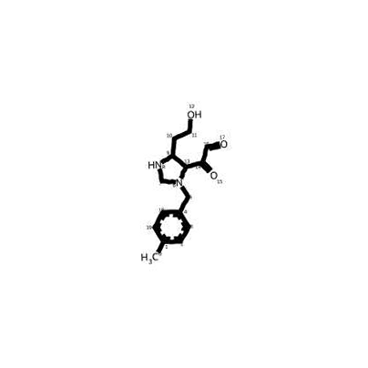 Cc1ccc(CN2CNC(CCO)C2C(=O)C=O)cc1